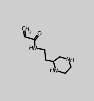 C=CC(=O)NCCC1CNCCN1